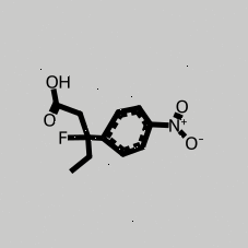 CCC(F)(CC(=O)O)c1ccc([N+](=O)[O-])cc1